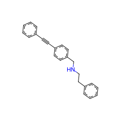 C(#Cc1ccc(CNCCc2ccccc2)cc1)c1ccccc1